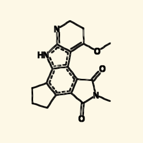 COC1=c2c([nH]c3c4c(c5c(c23)C(=O)N(C)C5=O)CCC4)=NCC1